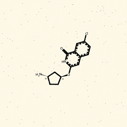 N[C@H]1CC[C@H](Oc2cc3ccc(Cl)cc3c(=O)[nH]2)C1